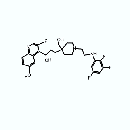 COc1ccc2ncc(F)c([C@@H](O)CCC3(CO)CCN(CCNc4cc(F)cc(F)c4F)CC3)c2c1